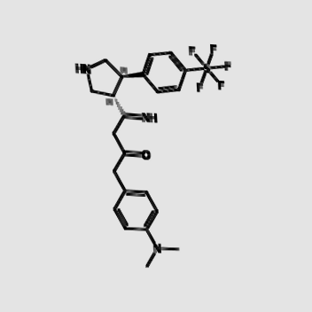 CN(C)c1ccc(CC(=O)CC(=N)[C@@H]2CNC[C@H]2c2ccc(S(F)(F)(F)(F)F)cc2)cc1